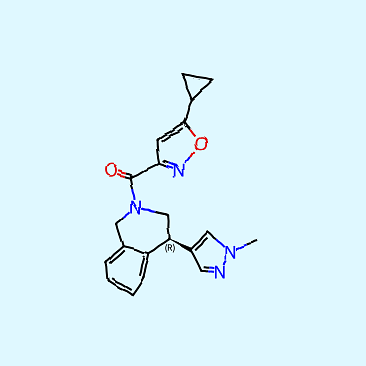 Cn1cc([C@@H]2CN(C(=O)c3cc(C4CC4)on3)Cc3ccccc32)cn1